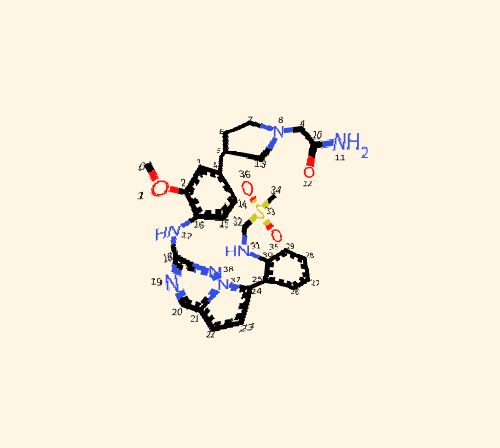 COc1cc(C2CCN(CC(N)=O)C2)ccc1Nc1ncc2ccc(-c3ccccc3NCS(C)(=O)=O)n2n1